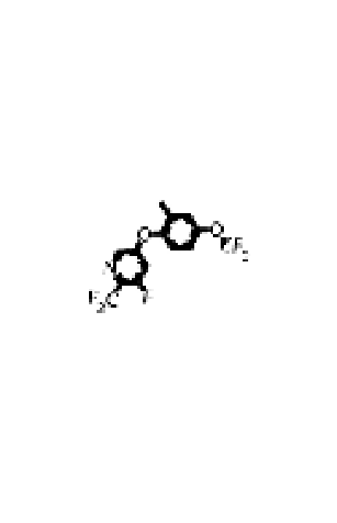 Cc1cc(OC(F)(F)F)ccc1Oc1cnc(C(F)(F)F)c(F)c1